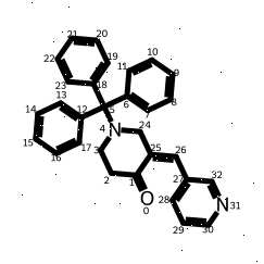 O=C1CCN(C(c2ccccc2)(c2ccccc2)c2ccccc2)C/C1=C/c1cccnc1